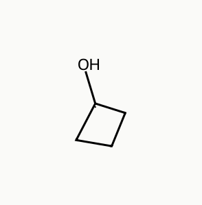 O[C]1CCC1